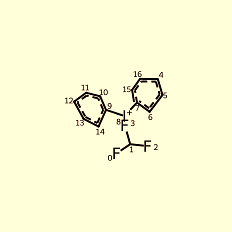 FC(F)F.c1ccc([I+]c2ccccc2)cc1